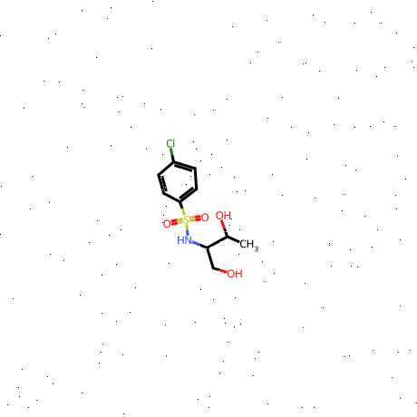 CC(O)C(CO)NS(=O)(=O)c1ccc(Cl)cc1